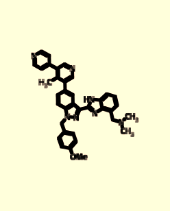 COc1ccc(Cn2nc(-c3nc4c(CN(C)C)cccc4[nH]3)c3cc(-c4cncc(-c5ccncc5)c4C)ccc32)cc1